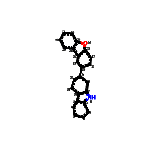 c1ccc2c(c1)[nH]c1cc(-c3ccc4oc5ccccc5c4c3)ccc12